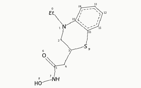 CCN1CC(CC(=O)NO)Sc2ccccc21